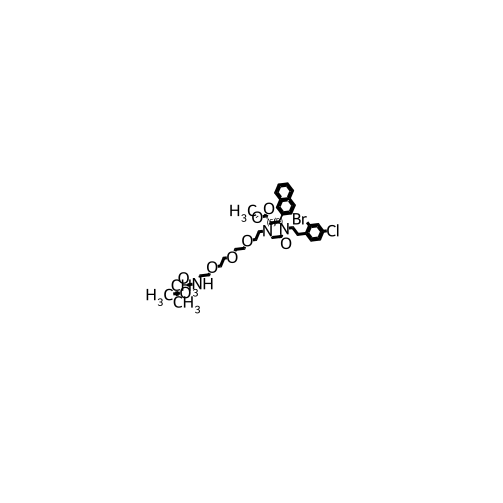 COC(=O)[C@@H]1[C@@H](c2ccc3ccccc3c2)N(CCc2ccc(Cl)cc2Br)C(=O)CN1CCOCCOCCOCCNC(=O)OC(C)(C)C